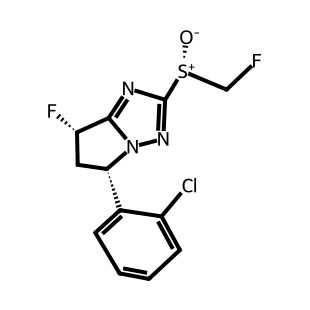 [O-][S@+](CF)c1nc2n(n1)[C@H](c1ccccc1Cl)C[C@@H]2F